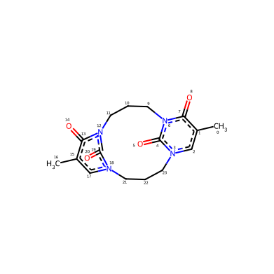 Cc1cn2c(=O)n(c1=O)CCCn1c(=O)c(C)cn(c1=O)CCC2